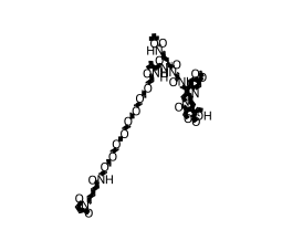 CC[C@@]1(O)C(=O)OCc2c1cc1n(c2=O)Cc2c-1nc1cc3c(cc1c2CNC(=O)CNC(=O)[C@H](CCCNC(=O)OC(C)(C)C)NC(=O)[C@@H](NC(=O)CCOCCOCCOCCOCCOCCOCCOCCOCCNC(=O)CCCCCN1C(=O)C=CC1=O)C(C)C)OCO3